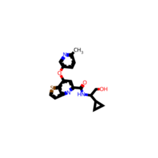 Cc1ccc(Oc2cc(C(=O)NC(CO)C3CC3)nc3ccsc23)cn1